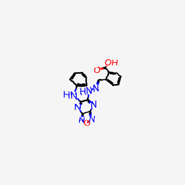 O=C(O)c1ccccc1C=NNc1nc2nonc2nc1Nc1ccccc1